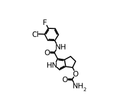 NC(=O)OC1CCc2c1c[nH]c2C(=O)Nc1ccc(F)c(Cl)c1